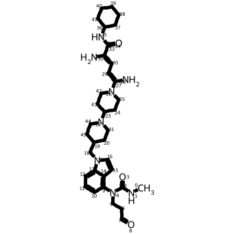 CNC(=O)N(CCC=O)c1cccc2c1ccn2CC1CCN(C2CCN(/C(N)=C/C=C(\N)C(=O)NC3CCCCC3)CC2)CC1